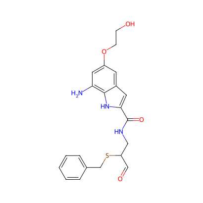 Nc1cc(OCCO)cc2cc(C(=O)NCC(C=O)SCc3ccccc3)[nH]c12